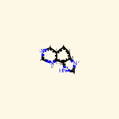 c1ncc2ccc3nc[nH]c3c2n1